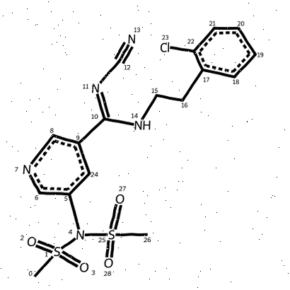 CS(=O)(=O)N(c1cncc(C(=NC#N)NCCc2ccccc2Cl)c1)S(C)(=O)=O